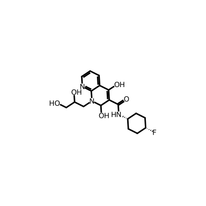 O=C(N[C@H]1CC[C@@H](F)CC1)C1=C(O)c2cccnc2N(CC(O)CO)C1O